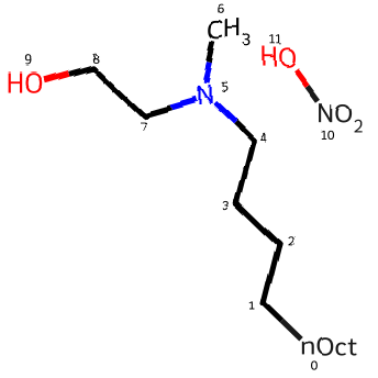 CCCCCCCCCCCCN(C)CCO.O=[N+]([O-])O